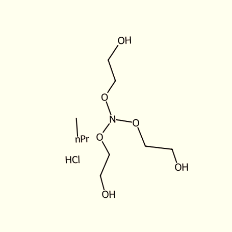 CCCC.Cl.OCCON(OCCO)OCCO